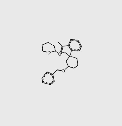 C=C(C)c1ccccc1C1(COC2CCCCO2)CCCC(OCc2ccccc2)C1